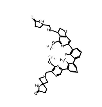 COc1nc(-c2cccc(-c3cccc(-c4cc5c(c(OC)n4)C(NCC4CCC(=O)N4)CO5)c3F)c2C)cnc1CN1CC2(CCC(=O)N2)C1